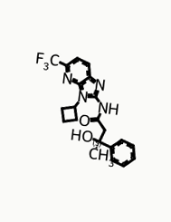 C[C@](O)(CC(=O)Nc1nc2ccc(C(F)(F)F)nc2n1C1CCC1)c1ccccc1